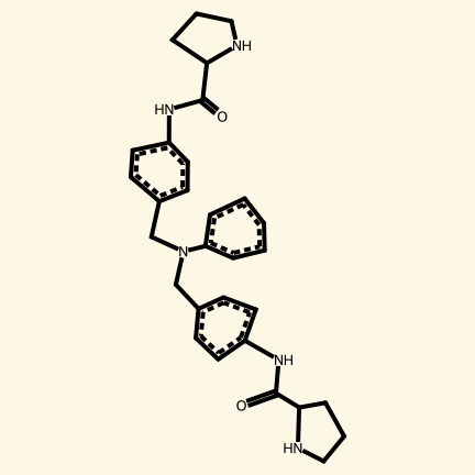 O=C(Nc1ccc(CN(Cc2ccc(NC(=O)C3CCCN3)cc2)c2ccccc2)cc1)C1CCCN1